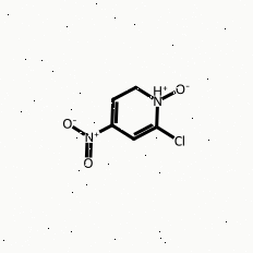 O=[N+]([O-])C1=CC[NH+]([O-])C(Cl)=C1